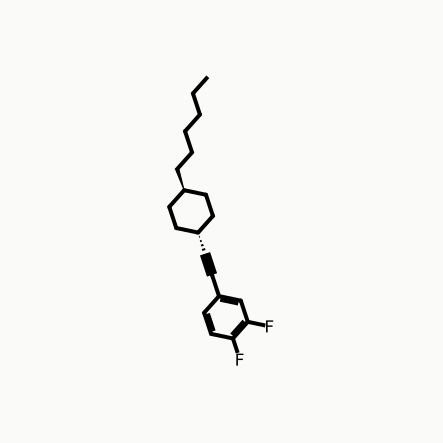 CCCCCC[C@H]1CC[C@H](C#Cc2ccc(F)c(F)c2)CC1